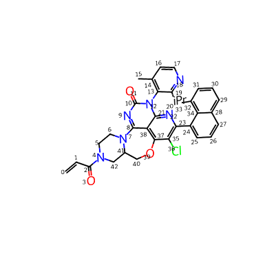 C=CC(=O)N1CCN2c3nc(=O)n(-c4c(C)ccnc4C(C)C)c4nc(-c5cccc6cccc(C)c56)c(Cl)c(c34)OCC2C1